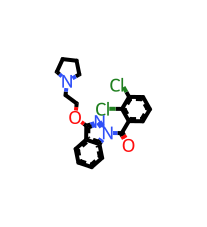 O=C(c1cccc(Cl)c1Cl)n1nc(OCCN2CCCC2)c2ccccc21